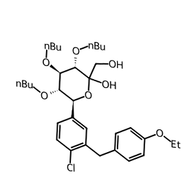 CCCCO[C@@H]1[C@@H](OCCCC)[C@H](OCCCC)C(O)(CO)O[C@H]1c1ccc(Cl)c(Cc2ccc(OCC)cc2)c1